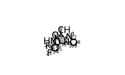 CC1C[C@@H]1c1nc2ccccc2n1Cc1cc(=O)[nH]c2c(F)c(F)ccc12